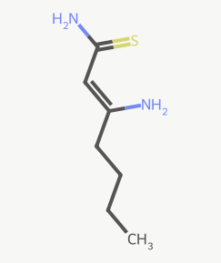 CCCCC(N)=CC(N)=S